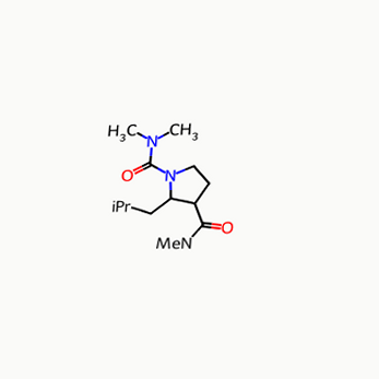 CNC(=O)C1CCN(C(=O)N(C)C)C1CC(C)C